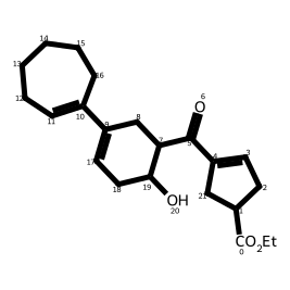 CCOC(=O)C1CC=C(C(=O)C2CC(C3=CCCCCC3)=CCC2O)C1